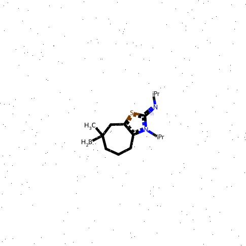 BC1(C)CCCc2c(s/c(=N\C(C)C)n2C(C)C)C1